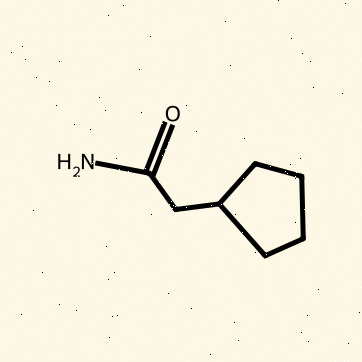 NC(=O)CC1CCCC1